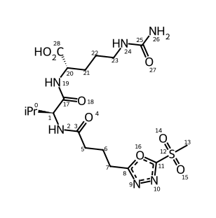 CC(C)[C@H](NC(=O)CCCc1nnc(S(C)(=O)=O)o1)C(=O)N[C@@H](CCCNC(N)=O)C(=O)O